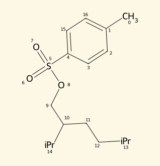 Cc1ccc(S(=O)(=O)OCC(CCC(C)C)C(C)C)cc1